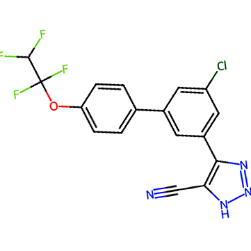 N#Cc1[nH]nnc1-c1cc(Cl)cc(-c2ccc(OC(F)(F)C(F)F)cc2)c1